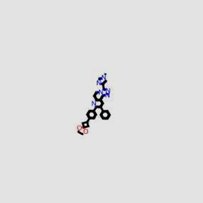 Cn1cnc(-c2nnc3c4cc(-c5ccccc5)c(-c5ccc([C]6CC7(C6)OCCO7)cc5)nc4ccn23)c1